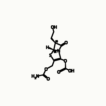 NC(=O)OCC1=C(OC(=O)O)N2C(=O)[C@H](CCO)[C@H]2S1